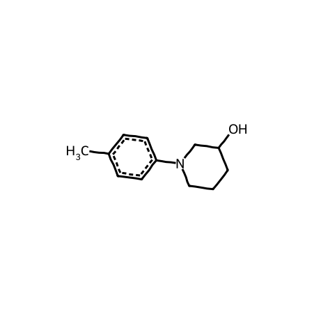 Cc1ccc(N2CCCC(O)C2)cc1